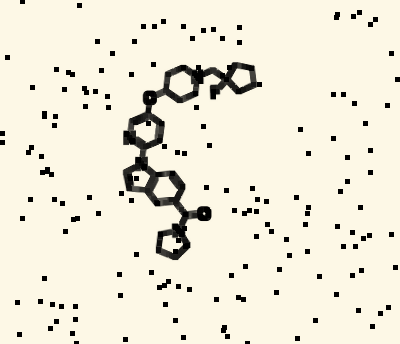 O=C(c1ccc2c(ccn2-c2ccc(OC3CCN(CC4(F)CCCC4)CC3)cn2)c1)N1CCCC1